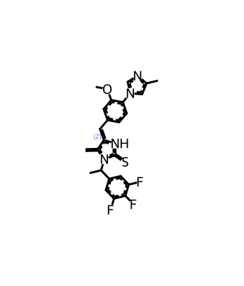 C=c1/c(=C/c2ccc(-n3cnc(C)c3)c(OC)c2)[nH]c(=S)n1C(C)c1cc(F)c(F)c(F)c1